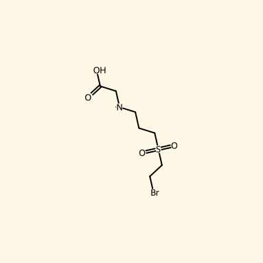 O=C(O)C[N]CCCS(=O)(=O)CCBr